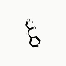 C=CC(=O)Oc1ccncc1